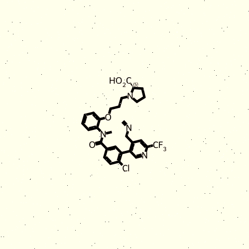 C=NCc1cc(C(F)(F)F)ncc1-c1cc(C(=O)N(C)c2ccccc2OCCCN2CCC[C@H]2C(=O)O)ccc1Cl